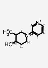 CC1CN(c2cccnc2)CCC1O